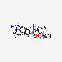 CC(C)C[C@H](N[C@@H](c1ccc(-c2cccc3[nH]ccc23)cc1)C(F)(F)F)C(=O)NCC#N